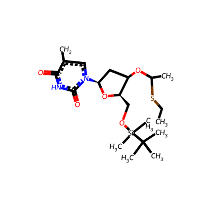 CCSC(C)OC1C[C@H](n2cc(C)c(=O)[nH]c2=O)O[C@@H]1CO[Si](C)(C)C(C)(C)C